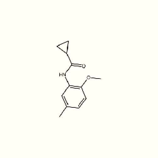 COc1ccc(C)cc1NC(=O)C1CC1